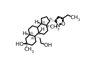 CCc1cc([C@H]2CC[C@H]3C4CC[C@H]5C[C@](C)(O)CC[C@]5(CCO)[C@H]4CC[C@]23C)no1